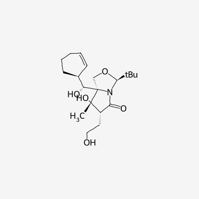 CC(C)(C)[C@@H]1OC[C@]2([C@H](O)[C@@H]3C=CCCC3)N1C(=O)[C@H](CCO)[C@]2(C)O